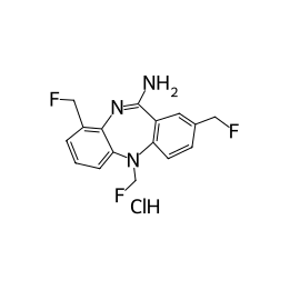 Cl.NC1=Nc2c(CF)cccc2N(CF)c2ccc(CF)cc21